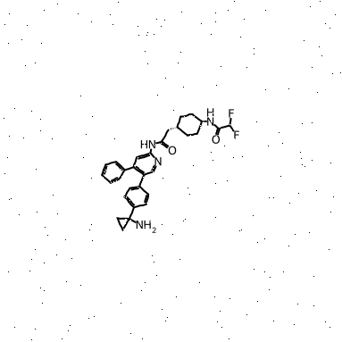 NC1(c2ccc(-c3cnc(NC(=O)C[C@H]4CC[C@H](NC(=O)C(F)F)CC4)cc3-c3ccccc3)cc2)CC1